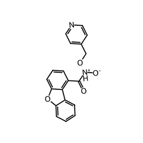 O=C(c1cccc2oc3ccccc3c12)[NH+]([O-])OCc1ccncc1